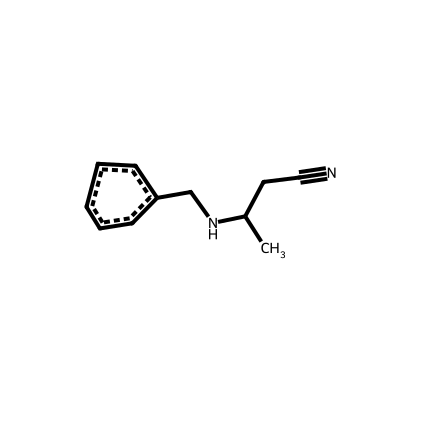 CC(CC#N)NCc1ccccc1